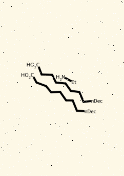 CCCCCCCCCCCCCCCCCC(=O)O.CCCCCCCCCCCCCCCCCC(=O)O.CCN